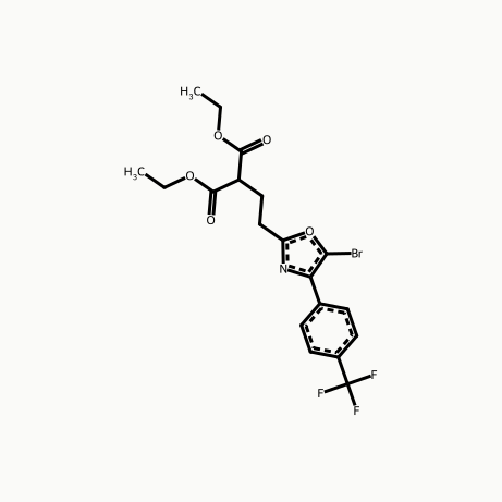 CCOC(=O)C(CCc1nc(-c2ccc(C(F)(F)F)cc2)c(Br)o1)C(=O)OCC